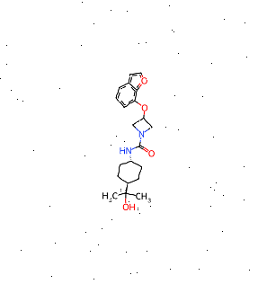 CC(C)(O)[C@H]1CC[C@H](NC(=O)N2CC(Oc3cccc4ccoc34)C2)CC1